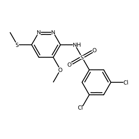 COc1cc(SC)nnc1NS(=O)(=O)c1cc(Cl)cc(Cl)c1